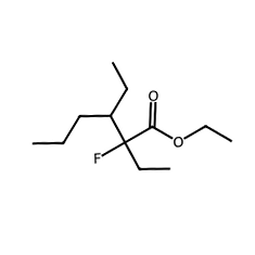 CCCC(CC)C(F)(CC)C(=O)OCC